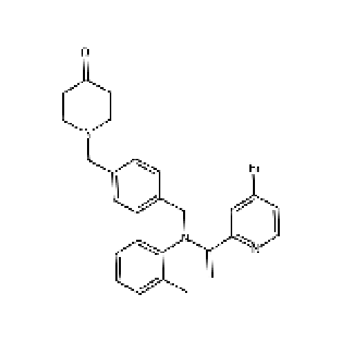 C=C(c1cc(Br)ccn1)N(Cc1ccc(CN2CCC(=O)CC2)cc1)c1ccccc1C